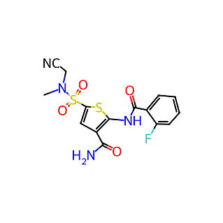 CN(CC#N)S(=O)(=O)c1cc(C(N)=O)c(NC(=O)c2ccccc2F)s1